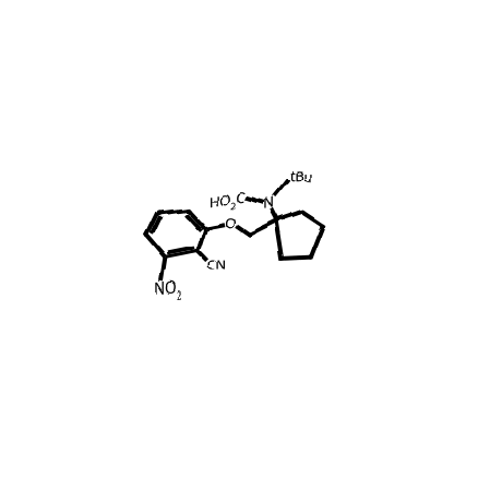 CC(C)(C)N(C(=O)O)C1(COc2cccc([N+](=O)[O-])c2C#N)CCCC1